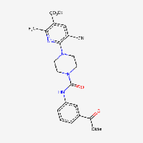 CCOC(=O)c1cc(C#N)c(N2CCN(C(=O)Nc3cccc(C(=O)OC)c3)CC2)nc1C(F)(F)F